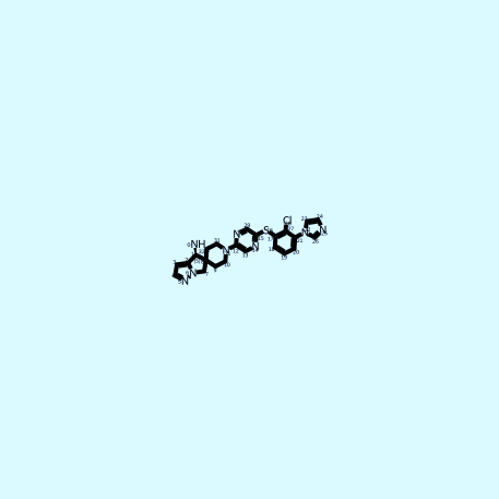 N[C@@H]1c2ccnn2CC12CCN(c1cnc(Sc3cccc(-n4ccnc4)c3Cl)cn1)CC2